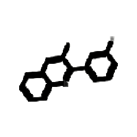 Cc1cc2ccccc2nc1-c1cccc(F)c1